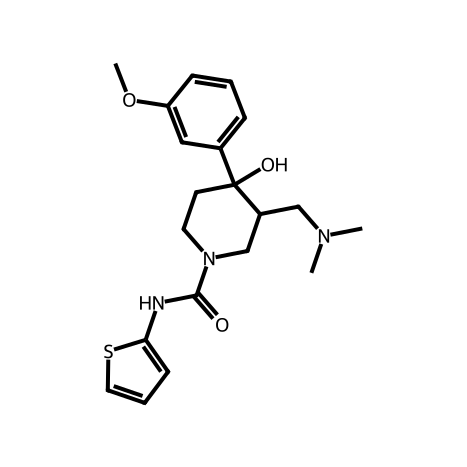 COc1cccc(C2(O)CCN(C(=O)Nc3cccs3)CC2CN(C)C)c1